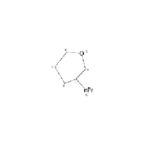 [CH2]CCC1CCCOC1